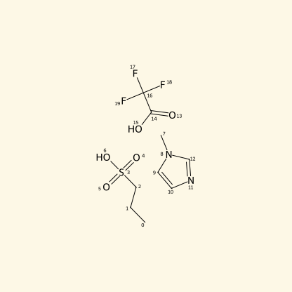 CCCS(=O)(=O)O.Cn1ccnc1.O=C(O)C(F)(F)F